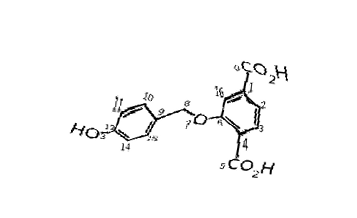 O=C(O)c1ccc(C(=O)O)c(OCc2ccc(O)cc2)c1